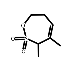 CC1=CCCOS(=O)(=O)C1C